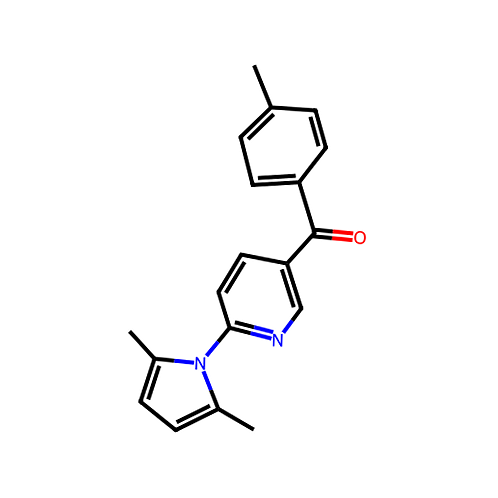 Cc1ccc(C(=O)c2ccc(-n3c(C)ccc3C)nc2)cc1